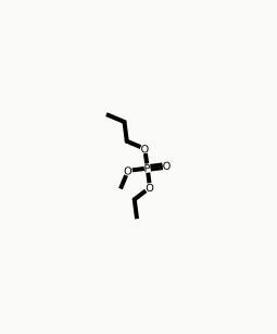 CCCOP(=O)(OC)OCC